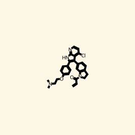 C=CC(=O)N1CCc2ccc(-c3c(-c4ccc(OCCN(C)C)cc4)[nH]c4nccc(Cl)c34)cc21